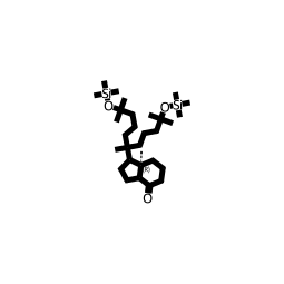 CC(C)(CCCC(C)(CCCC(C)(C)O[Si](C)(C)C)C1CCC2C(=O)CCC[C@@]21C)O[Si](C)(C)C